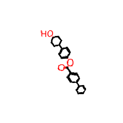 O=C(Oc1ccc(C2CCC(O)CC2)cc1)c1ccc(-c2ccccc2)cc1